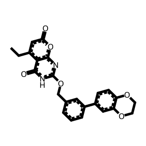 CCc1cc(=O)oc2nc(OCc3cccc(-c4ccc5c(c4)OCCO5)c3)[nH]c(=O)c12